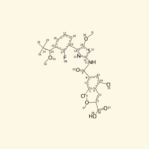 COC(=Cc1c(Cl)cc(C(=O)Nc2nc(-c3cccc(C(OC)C(C)(C)C)c3F)c(OC)s2)cc1Cl)C(=O)O